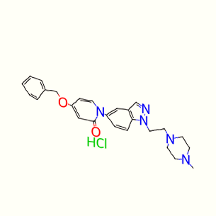 CN1CCN(CCn2ncc3cc(-n4ccc(OCc5ccccc5)cc4=O)ccc32)CC1.Cl